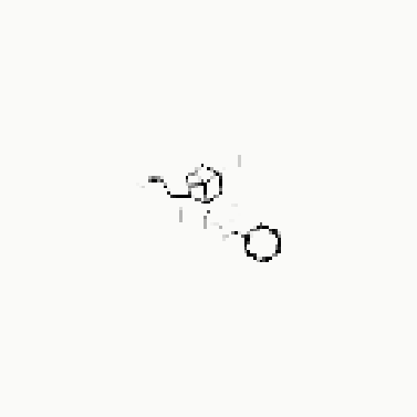 CC1(C)[C@@H]2CC[C@@H](CC=O)[C@@]1(NS(=O)(=O)c1ccccc1)C2